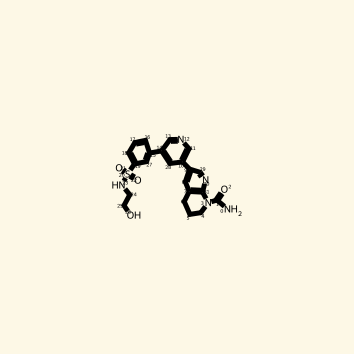 NC(=O)N1CCCc2cc(-c3cncc(-c4cccc(S(=O)(=O)NCCO)c4)c3)cnc21